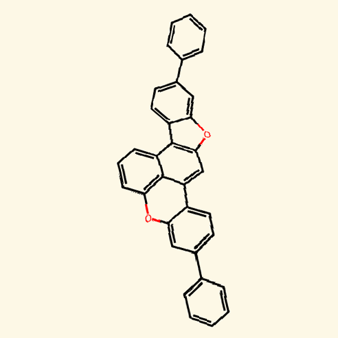 c1ccc(-c2ccc3c(c2)Oc2cccc4c2c-3cc2oc3cc(-c5ccccc5)ccc3c24)cc1